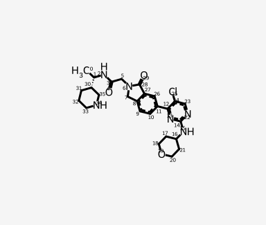 CC(NC(=O)CN1Cc2ccc(-c3nc(NC4CCOCC4)ncc3Cl)cc2C1=O)[C@H]1CCCNC1